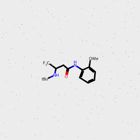 COc1ccccc1NC(=O)CC(NC(C)(C)C)C(F)(F)F